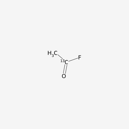 C[13C](=O)F